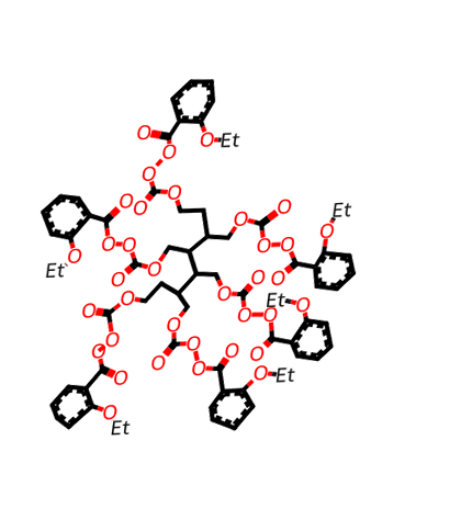 CCOc1ccccc1C(=O)OOC(=O)OCCC(COC(=O)OOC(=O)c1ccccc1OCC)C(COC(=O)OOC(=O)c1ccccc1OCC)C(COC(=O)OOC(=O)c1ccccc1OCC)C(CCOC(=O)OOC(=O)c1ccccc1OCC)COC(=O)OOC(=O)c1ccccc1OCC